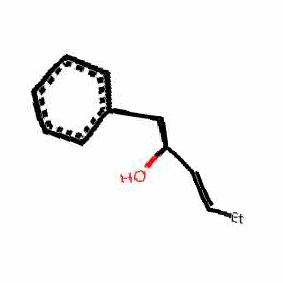 CC/C=C/C(O)Cc1ccccc1